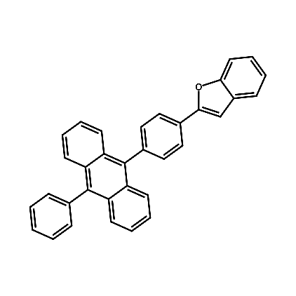 c1ccc(-c2c3ccccc3c(-c3ccc(-c4cc5ccccc5o4)cc3)c3ccccc23)cc1